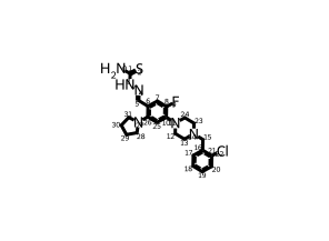 NC(=S)N/N=C/c1cc(F)c(N2CCN(Cc3ccccc3Cl)CC2)cc1N1CCCC1